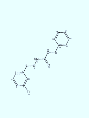 O=C(NOCc1cccc(Cl)c1)OCc1ccccc1